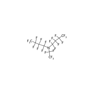 FC(F)(F)C(F)(F)N(C(F)(F)C(F)(F)C(F)(F)C(F)(F)F)C(F)(F)C(F)(F)C(F)(F)C(F)(F)F